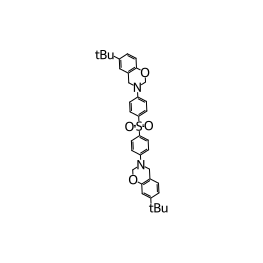 CC(C)(C)c1ccc2c(c1)CN(c1ccc(S(=O)(=O)c3ccc(N4COc5cc(C(C)(C)C)ccc5C4)cc3)cc1)CO2